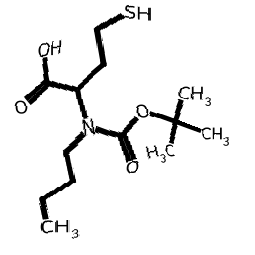 CCCCN(C(=O)OC(C)(C)C)C(CCS)C(=O)O